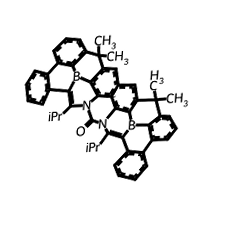 CC(C)C1=C2B3c4c(cccc4C(C)(C)c4cc5cc6c7c8c5c(c43)N1C(=O)N8C(C(C)C)=C1B7c3c(cccc3C6(C)C)-c3ccccc31)-c1ccccc12